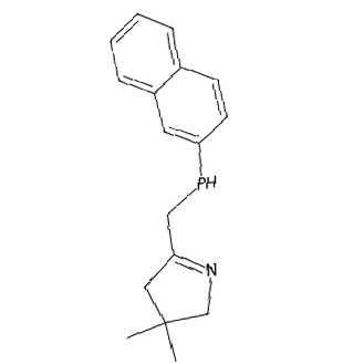 CC1(C)CN=C(CPc2ccc3ccccc3c2)C1